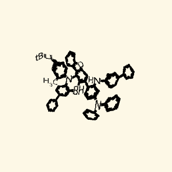 Cc1cc(C(C)(C)C)ccc1N1c2ccc(-c3ccccc3)cc2Bc2c(-c3ccc(N(c4ccccc4)c4ccccc4)cc3Nc3ccc(-c4ccccc4)cc3)cc3oc4ccccc4c3c21